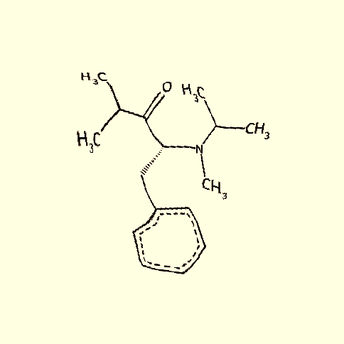 CC(C)C(=O)[C@@H](Cc1ccccc1)N(C)C(C)C